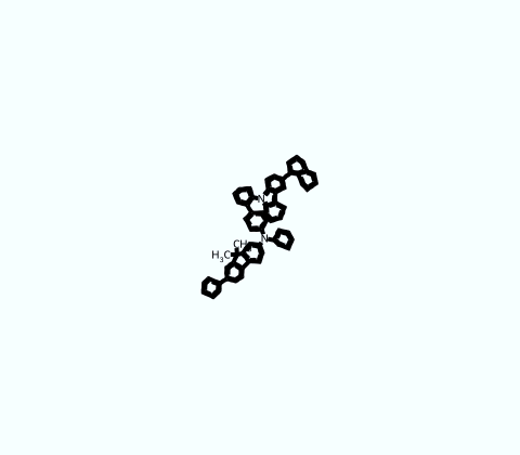 CC1(C)c2cc(-c3ccccc3)ccc2-c2ccc(N(c3ccccc3)c3ccc(-c4ccccc4-n4c5ccccc5c5cc(-c6cccc7ccccc67)ccc54)cc3)cc21